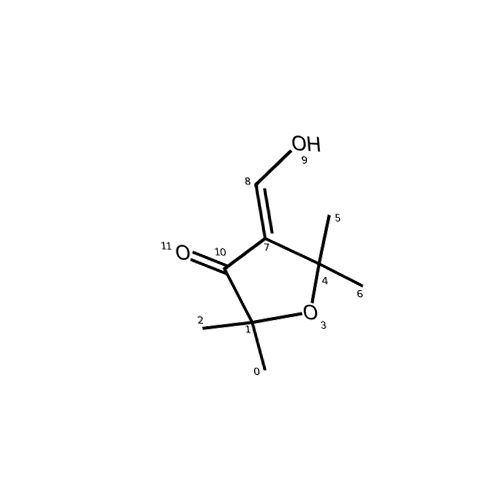 CC1(C)OC(C)(C)C(=CO)C1=O